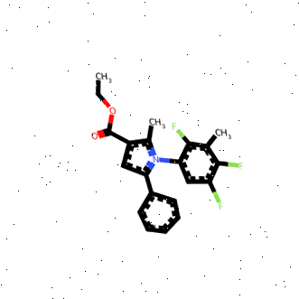 CCOC(=O)c1cc(-c2ccccc2)n(-c2cc(F)c(F)c(C)c2F)c1C